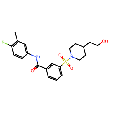 Cc1cc(NC(=O)c2cccc(S(=O)(=O)N3CCC(CCO)CC3)c2)ccc1F